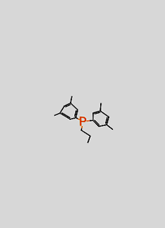 CCCP(c1cc(C)cc(C)c1)c1cc(C)cc(C)c1